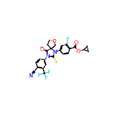 N#Cc1ccc(N2C(=O)C3(CCOC3)N(c3ccc(C(=O)OC4CC4)c(F)c3)C2=S)cc1C(F)(F)F